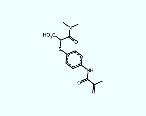 C=C(C)C(=O)Nc1ccc(SC(C(=O)O)C(=O)N(C)C)cc1